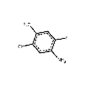 Nc1cc(Cl)c(C(F)(F)F)cc1F